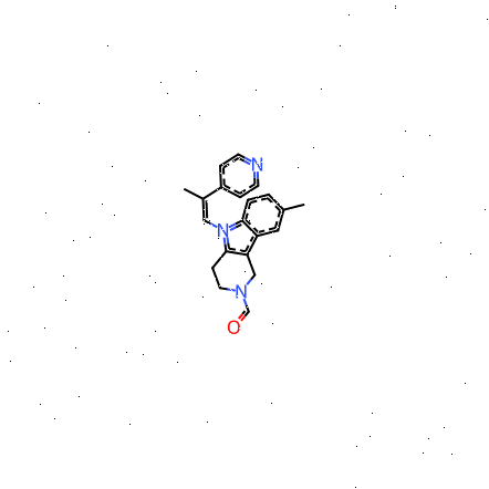 C/C(=C/n1c2c(c3cc(C)ccc31)CN(C=O)CC2)c1ccncc1